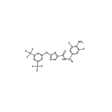 C[C@@H](NC(=O)c1coc(Oc2cc(C(F)(F)F)cc(C(F)(F)F)c2)n1)c1cc(F)c(N)c(F)c1